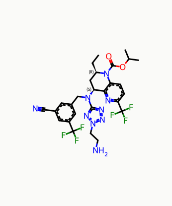 CC[C@@H]1C[C@H](N(Cc2cc(C#N)cc(C(F)(F)F)c2)c2nnn(CCN)n2)c2nc(C(F)(F)F)ccc2N1C(=O)OC(C)C